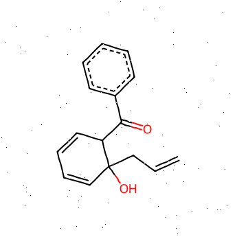 C=CCC1(O)C=CC=CC1C(=O)c1ccccc1